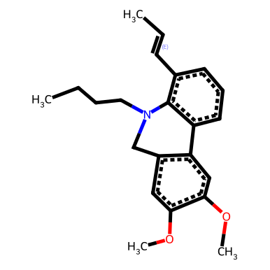 C/C=C/c1cccc2c1N(CCCC)Cc1cc(OC)c(OC)cc1-2